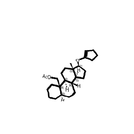 CC(=O)OC[C@]12CCCC[C@@H]1CC[C@H]1[C@@H]3CC[C@H](OC4=CCCC4)[C@@]3(C)CC[C@@H]12